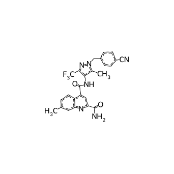 Cc1ccc2c(C(=O)Nc3c(C(F)(F)F)nn(Cc4ccc(C#N)cc4)c3C)cc(C(N)=O)nc2c1